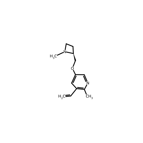 C=Cc1cc(OC[C@@H]2CCN2C)cnc1C